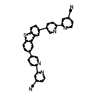 N#Cc1ccnc(-c2ccc(-c3ccc4sc5ccc(-c6ccc(-c7cc(C#N)ccn7)nc6)cc5c4c3)cn2)c1